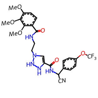 COc1ccc(C(=O)NCCN2C=C(C(=O)NC(C#N)c3ccc(OC(F)(F)F)cc3)NN2)c(OC)c1OC